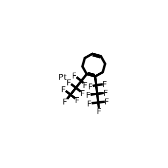 FC(F)(F)C(F)(F)C(F)(F)C1=C(C(F)(F)C(F)(F)C(F)(F)F)CCC=CCC1.[Pt]